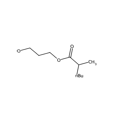 CCCCC(C)C(=O)OCCC[O]